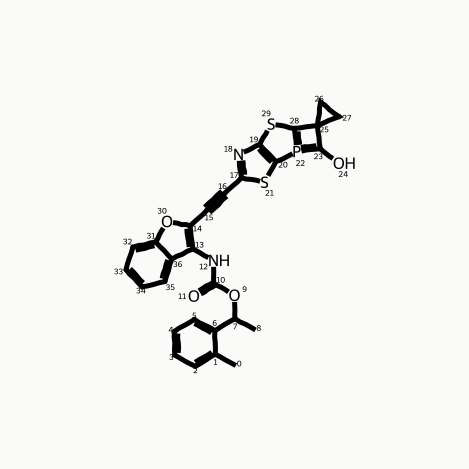 Cc1ccccc1C(C)OC(=O)Nc1c(C#Cc2nc3c(s2)P2=C(O)C4(CC4)C=2S3)oc2ccccc12